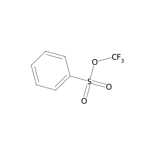 O=S(=O)(OC(F)(F)F)c1ccccc1